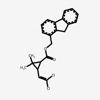 CC1(C)C(C=C(Cl)Cl)C1C(=O)OCc1cccc2c1Cc1ccccc1-2